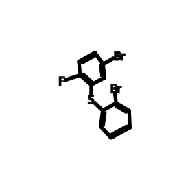 Fc1ccc(Br)cc1Sc1ccccc1Br